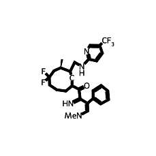 CN/C=C(\C(=N)C(=O)C1CCCC(F)(F)C[C@@H](C)C(CNc2ccc(C(F)(F)F)cn2)C1)c1ccccc1